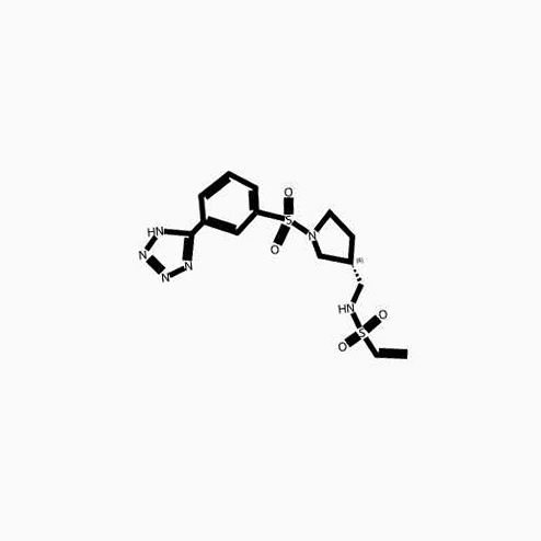 C=CS(=O)(=O)NC[C@H]1CCN(S(=O)(=O)c2cccc(-c3nnn[nH]3)c2)C1